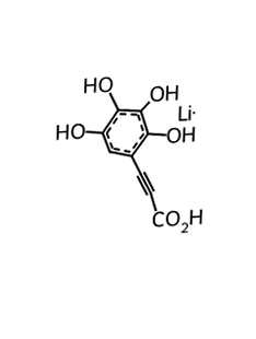 O=C(O)C#Cc1cc(O)c(O)c(O)c1O.[Li]